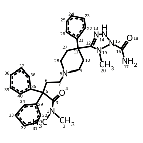 CN(C)C(=O)C(CCN1CCC(C2=NNN(C(N)=O)N2C)(c2ccccc2)CC1)(c1ccccc1)c1ccccc1